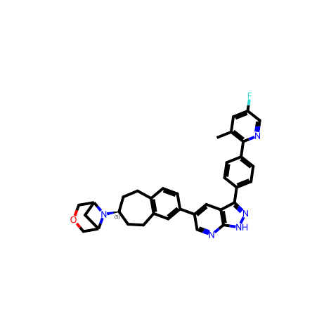 Cc1cc(F)cnc1-c1ccc(-c2n[nH]c3ncc(-c4ccc5c(c4)CC[C@@H](N4C6COCC4C6)CC5)cc23)cc1